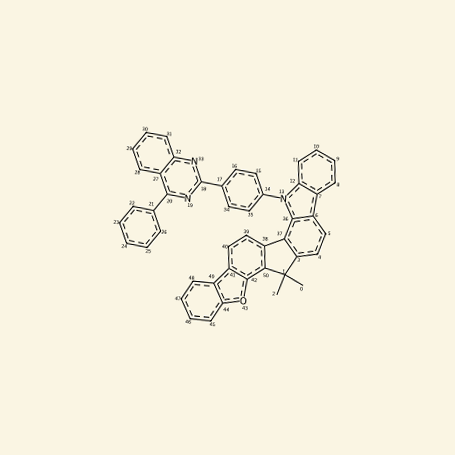 CC1(C)c2ccc3c4ccccc4n(-c4ccc(-c5nc(-c6ccccc6)c6ccccc6n5)cc4)c3c2-c2ccc3c(oc4ccccc43)c21